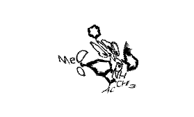 COC(=O)c1cc(N(S(=O)(=O)c2ccccc2)S(=O)(=O)c2ccccc2)c2[nH]c(C)c(C(C)=O)c2c1